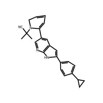 CC(C)(C#N)N1CC=CC=C1c1cnc2[nH]c(-c3ccc(C4CC4)cc3)cc2c1